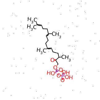 CC(C)=CCCC(C)=CCCC(C)=CCCC(C)C(=O)COP(=O)(O)OP(=O)(O)O